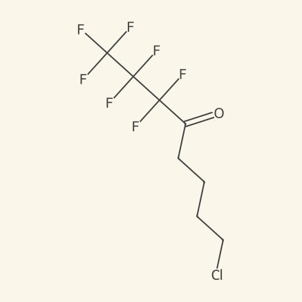 O=C(CCCCCl)C(F)(F)C(F)(F)C(F)(F)F